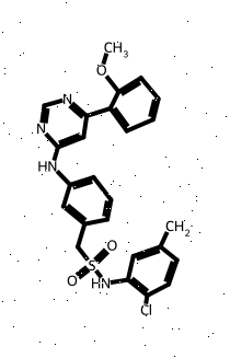 [CH2]c1ccc(Cl)c(NS(=O)(=O)Cc2cccc(Nc3cc(-c4ccccc4OC)ncn3)c2)c1